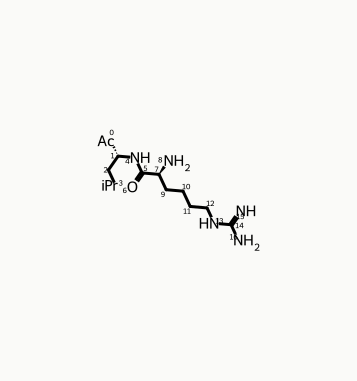 CC(=O)[C@@H](CC(C)C)NC(=O)[C@@H](N)CCCCNC(=N)N